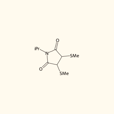 CSC1C(=O)N(C(C)C)C(=O)C1SC